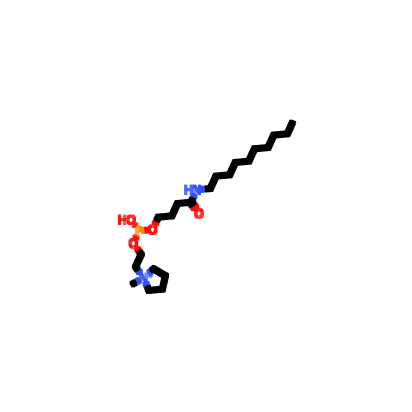 CCCCCCCCCCNC(=O)CCCOP(O)OCC[N+]1(C)CCCC1